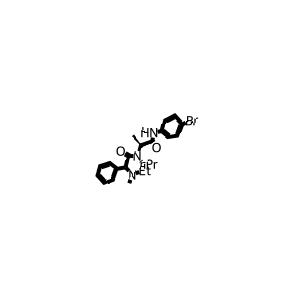 CCCN(C(=O)C(c1ccccc1)N(C)CC)[C@@H](C)C(=O)Nc1ccc(Br)cc1